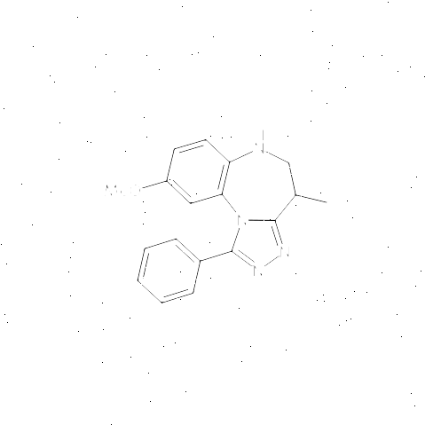 COc1ccc2c(c1)-n1c(-c3ccccc3)nnc1C(C)CN2